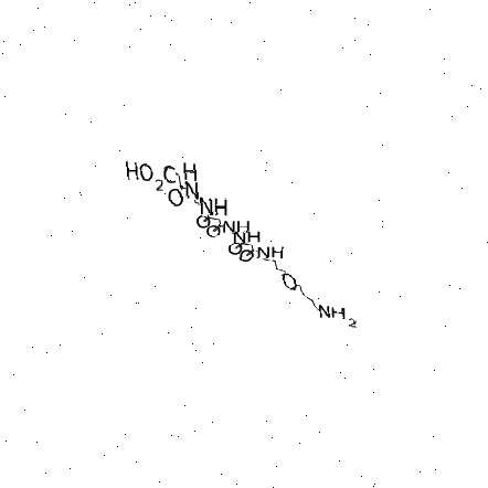 NCCCCOCCCCNC(=O)CC(=O)NCNC(=O)CC(=O)NCNC(=O)CC(=O)O